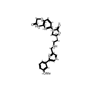 COc1cccc(-c2cncc(CNCC[C@H]3CN(c4ccc5c(n4)NC(=O)CO5)C(=O)O3)n2)c1